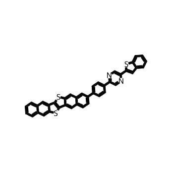 c1ccc2cc3c(cc2c1)sc1c2cc4ccc(-c5ccc(-c6cnc(-c7cc8ccccc8s7)cn6)cc5)cc4cc2sc31